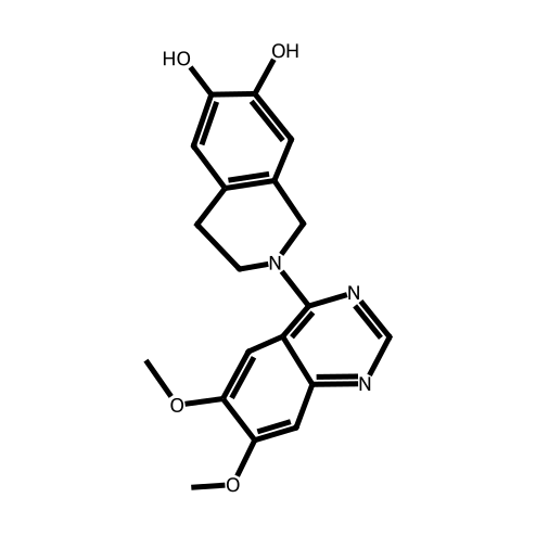 COc1cc2ncnc(N3CCc4cc(O)c(O)cc4C3)c2cc1OC